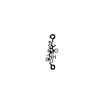 Cc1c(N(C)Cc2ccccc2)sc2nc([C@H](C)NC(=O)OCc3ccccc3)oc(=O)c12